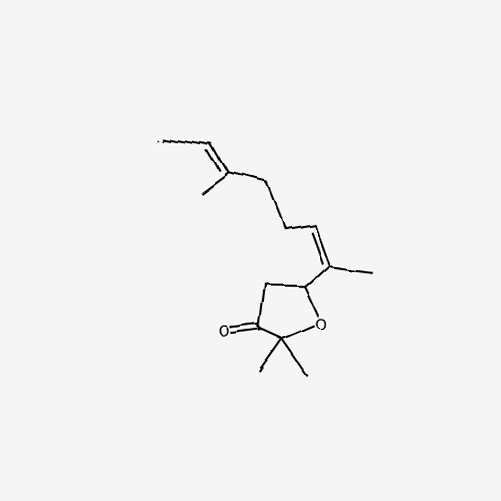 [CH2]/C=C(\C)CC/C=C(/C)C1CC(=O)C(C)(C)O1